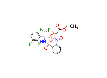 CCOC(=O)COC[C@@](NS(=O)(=O)c1ccccc1[N+](=O)[O-])(c1cccc(F)c1F)C(F)F